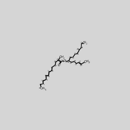 CCCCCCCCCCCCC(C)C(=O)OCC(CCCCCC)CCCCCCCC